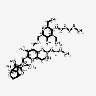 CC[C@H]1C(O)[C@@H](COC[C@H]2C(O)[C@H](COC[C@H]3C4CO[C@H]3C(O)[C@@H](OC)O4)OC(CO)[C@@H]2OSOOOC)OC(CO)[C@@H]1OSOOOC